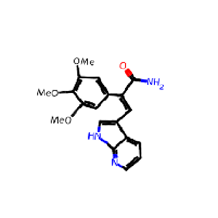 COc1cc(/C(=C\c2c[nH]c3ncccc23)C(N)=O)cc(OC)c1OC